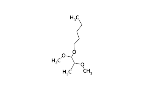 CCCCCOC(OC)C(C)OC